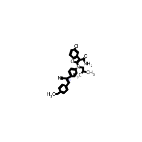 CCc1ccc(/C=C(\C#N)c2ccc(N(CC(C)C)c3oc4ccc(Cl)cc4c3C(N)=O)cc2)cc1